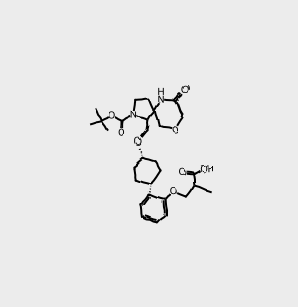 CC(COc1ccccc1[C@H]1CC[C@@H](OCC2N(C(=O)OC(C)(C)C)CCC23COCC(=O)N3)CC1)C(=O)O